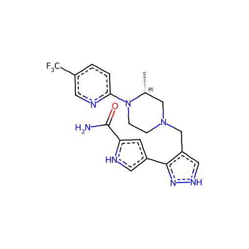 C[C@@H]1CN(Cc2c[nH]nc2-c2c[nH]c(C(N)=O)c2)CCN1c1ccc(C(F)(F)F)cn1